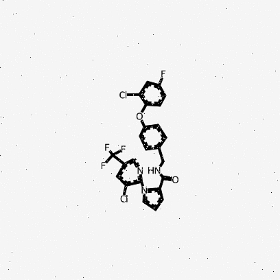 O=C(NCc1ccc(Oc2ccc(F)cc2Cl)cc1)c1cccn1-c1ncc(C(F)(F)F)cc1Cl